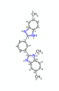 Cc1ccc2[nH]c(-c3cccc(-c4nc5cc(C)ccc5n4C)c3)nc2c1